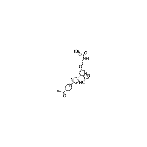 C#CC(=O)N1CCN(c2ccc(-c3cc(OCCNC(=O)OC(C)(C)C)cn4ncc(C#N)c34)cn2)CC1